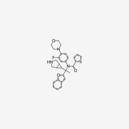 CC(c1cc2ccccc2o1)(C1C2CNCC21)N(C(=O)c1cccs1)c1ccc(N2CCOCC2)c(F)c1